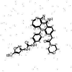 CC(C)(C)c1cc(NC(=O)Nc2ccc(NC3=C=CC=NC(N)=C3C(=N)c3ccc(CC(=O)N4CCOCC4)cc3)cc2)no1